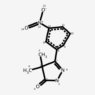 CC1(C)C(=O)[N]N=C1c1cccc([N+](=O)[O-])c1